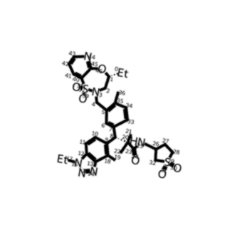 CC[C@@H]1CN(Cc2cc([C@@H](c3ccc4c(nnn4CC)c3C)C(C)(C)C(=O)NC3CCS(=O)(=O)C3)ccc2C)S(=O)(=O)c2cccnc2O1